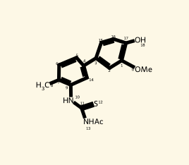 COc1cc(-c2ccc(C)c(NC(=S)NC(C)=O)c2)ccc1O